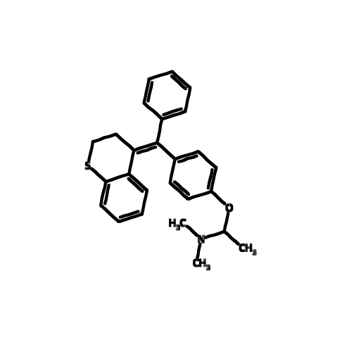 CC(Oc1ccc(C(=C2CCSc3ccccc32)c2ccccc2)cc1)N(C)C